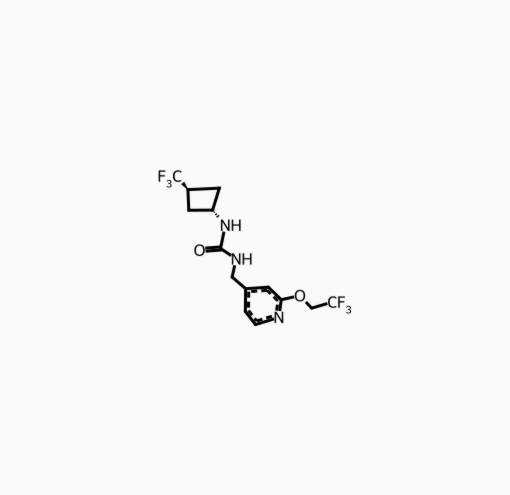 O=C(NCc1ccnc(OCC(F)(F)F)c1)N[C@H]1C[C@H](C(F)(F)F)C1